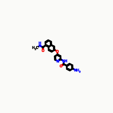 CNC(=O)c1cccc2cc(Oc3ccnc(NC(=O)c4ccc(N)cc4)c3)ccc12